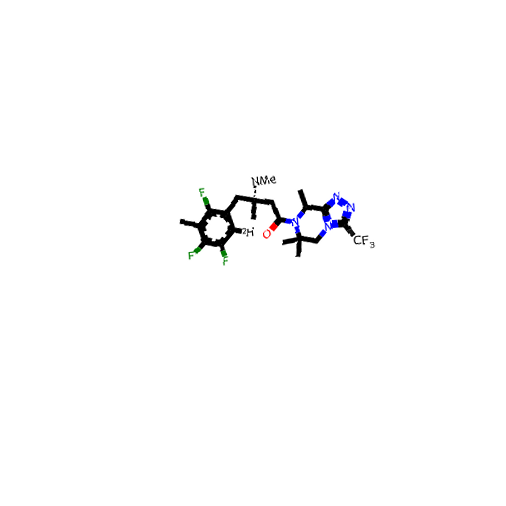 [2H]c1c(F)c(F)c(C)c(F)c1C[C@](C)(CC(=O)N1C(C)c2nnc(C(F)(F)F)n2CC1(C)C)NC